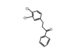 O=C(CCc1ccc(Cl)c(Cl)c1)c1ccccc1